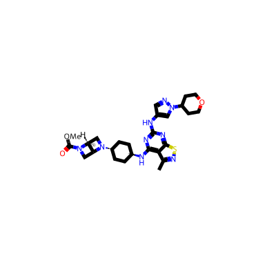 COC(=O)N1CC2[C@@H]1CN2[C@H]1CC[C@H](Nc2nc(Nc3cnn(C4CCOCC4)c3)nc3snc(C)c23)CC1